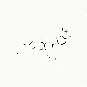 CCOc1cc2nc(CC)cn2cc1NC(=O)c1ccc(F)c(C(F)(F)F)n1